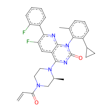 C=CC(=O)N1CCN(c2nc(=O)n(-c3c(C)cccc3C3CC3)c3nc(-c4ccccc4F)c(F)cc23)[C@@H](C)C1